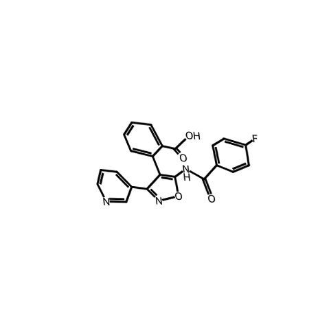 O=C(Nc1onc(-c2cccnc2)c1-c1ccccc1C(=O)O)c1ccc(F)cc1